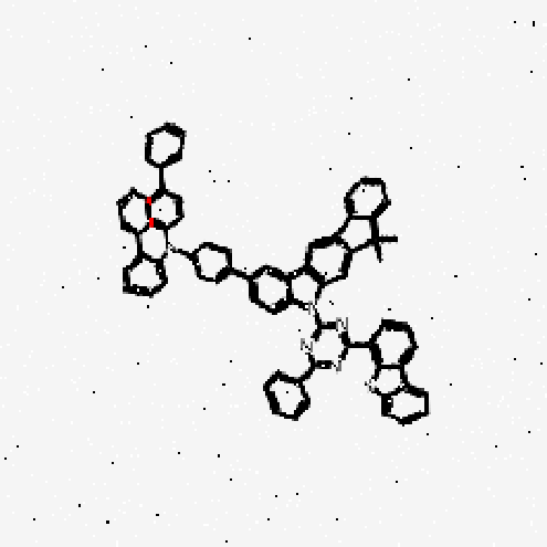 CC1(C)c2ccccc2-c2cc3c4cc(-c5ccc(N(c6ccc(-c7ccccc7)cc6)c6ccccc6-c6ccccc6)cc5)ccc4n(-c4nc(-c5ccccc5)nc(-c5cccc6c5sc5ccccc56)n4)c3cc21